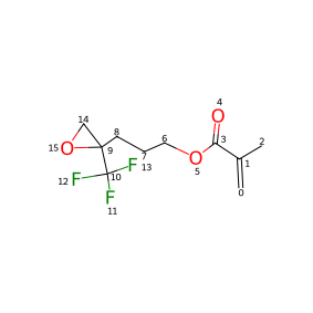 C=C(C)C(=O)OCCCC1(C(F)(F)F)CO1